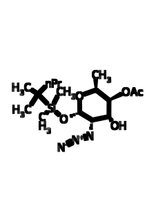 CCCC(C)(C)[Si](C)(C)O[C@@H]1O[C@@H](C)[C@@H](OC(C)=O)[C@@H](O)[C@@H]1N=[N+]=[N-]